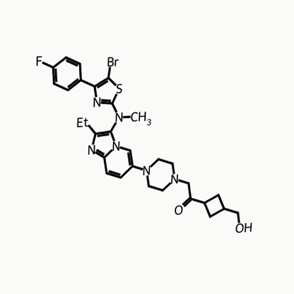 CCc1nc2ccc(N3CCN(CC(=O)C4CC(CO)C4)CC3)cn2c1N(C)c1nc(-c2ccc(F)cc2)c(Br)s1